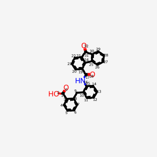 O=C(O)c1ccccc1Cc1ccccc1NC(=O)c1cccc2c1-c1ccccc1C2=O